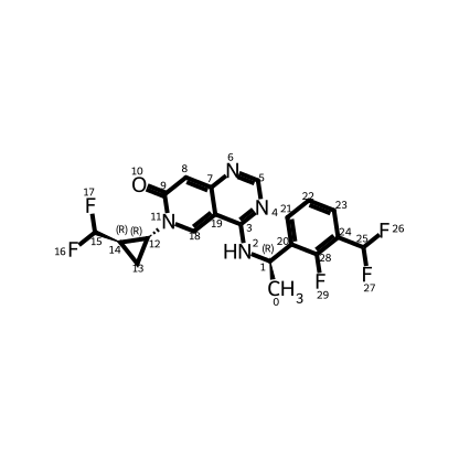 C[C@@H](Nc1ncnc2cc(=O)n([C@@H]3C[C@H]3C(F)F)cc12)c1cccc(C(F)F)c1F